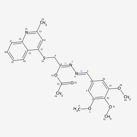 COc1cc(/C=N/N=C(/CSc2cc(C)nc3ccccc23)OC(C)=O)cc(OC)c1OC